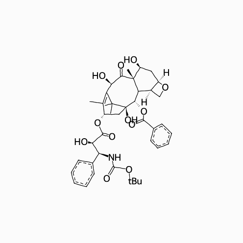 CC1=C2[C@@H](O)C(=O)[C@@]3(C)C([C@@H]4CO[C@@H]4C[C@@H]3O)[C@H](OC(=O)c3ccccc3)[C@](O)(C[C@@H]1OC(=O)[C@H](O)[C@@H](NC(=O)OC(C)(C)C)c1ccccc1)C2(C)C